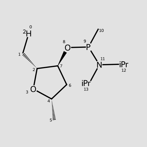 [2H]C[C@H]1O[C@@H](C)C[C@@H]1OP(C)N(C(C)C)C(C)C